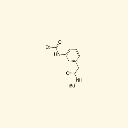 CCC(=O)Nc1cccc(CC(=O)NC(C)CC)c1